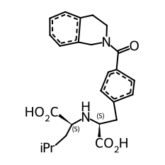 CC(C)C[C@H](N[C@@H](Cc1ccc(C(=O)N2CCc3ccccc3C2)cc1)C(=O)O)C(=O)O